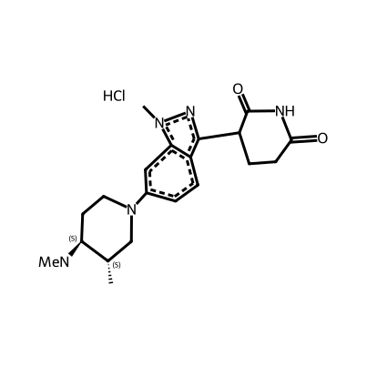 CN[C@H]1CCN(c2ccc3c(C4CCC(=O)NC4=O)nn(C)c3c2)C[C@@H]1C.Cl